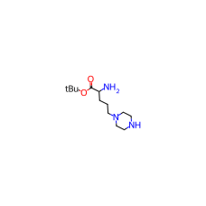 CC(C)(C)OC(=O)C(N)CCCN1CCNCC1